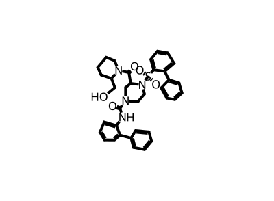 O=C(Nc1ccccc1-c1ccccc1)N1CCN(S(=O)(=O)c2ccccc2-c2ccccc2)C(C(=O)N2CCCCC2CO)C1